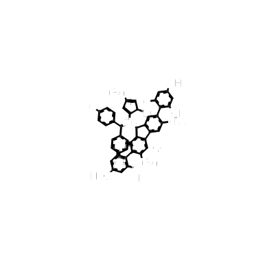 CCC1C=C(C(C)(C)C)C=[C]1[Zr+2](=[C](c1ccc(C(F)(F)F)cc1)c1ccc(C(F)(F)F)cc1)[CH]1c2cc(-c3c(C)cc(C)cc3C)c(C(C)(C)C)cc2-c2cc(C(C)(C)C)c(-c3c(C)cc(C)cc3C)cc21.[Cl-].[Cl-]